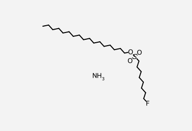 CCCCCCCCCCCCCCCCCOS(=O)(=O)CCCCCCCCF.N